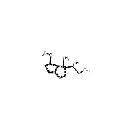 CCC(O)c1ccn2ccc(OC)c2c1C